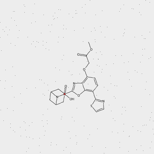 COC(=O)COc1ccc(-c2nccs2)c2oc(N3CC4CC(C3)N4C(=O)O)nc12